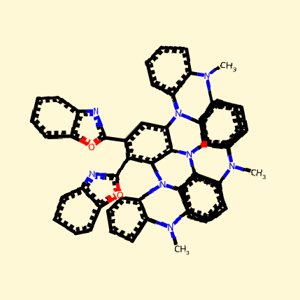 CN1c2ccccc2N(c2cc(-c3nc4ccccc4o3)c(-c3nc4ccccc4o3)c(N3c4ccccc4N(C)c4ccccc43)c2N2c3ccccc3N(C)c3ccccc32)c2ccccc21